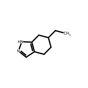 CCC1CCc2cn[nH]c2C1